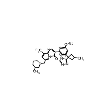 CCOc1cc(C2(c3nncn3C)CC(C)C2)cc(-c2cnc3c(C(F)(F)F)cc(CN4CCC[C@H](C)C4)cn3c2=O)n1